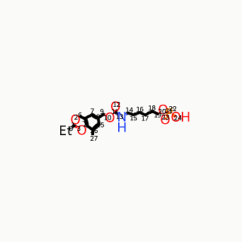 CCC(=O)Oc1c(C)cc(COC(=O)NCCCCCCOP(C)(=O)O)cc1C